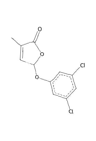 CC1=CC(Oc2cc(Cl)cc(Cl)c2)OC1=O